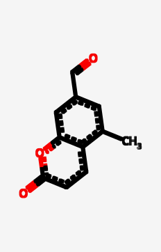 Cc1cc(C=O)cc2oc(=O)ccc12